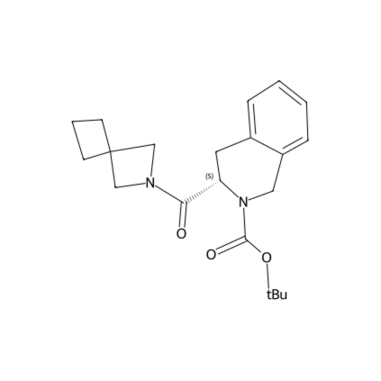 CC(C)(C)OC(=O)N1Cc2ccccc2C[C@H]1C(=O)N1CC2(CCC2)C1